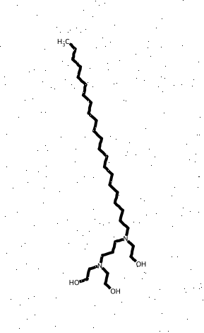 CCCCCCCCCCCCCCCCCCCCCCN(CCO)CCCN(CCO)CCO